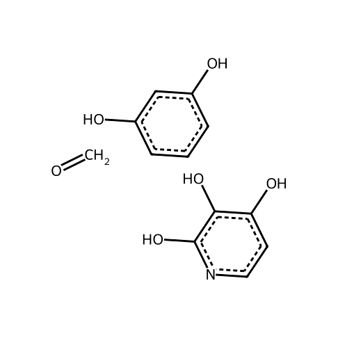 C=O.Oc1cccc(O)c1.Oc1ccnc(O)c1O